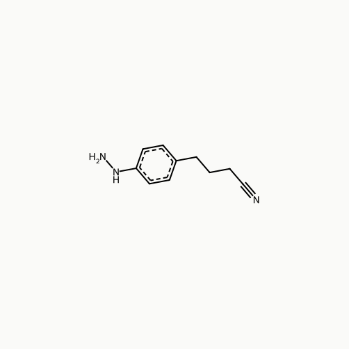 N#CCCCc1ccc(NN)cc1